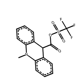 CN1c2ccccc2C(C(=O)OS(=O)(=O)C(F)(F)F)c2ccccc21